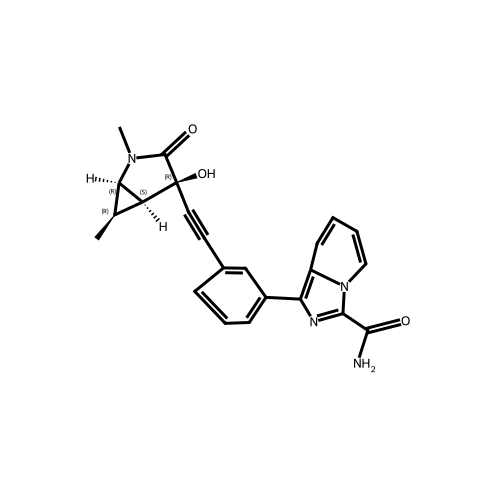 C[C@H]1[C@@H]2[C@H]1[C@@](O)(C#Cc1cccc(-c3nc(C(N)=O)n4ccccc34)c1)C(=O)N2C